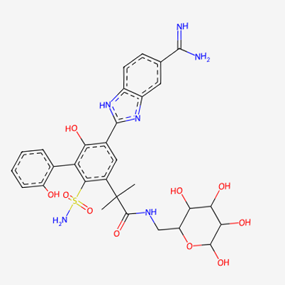 CC(C)(C(=O)NCC1OC(O)C(O)C(O)C1O)c1cc(-c2nc3cc(C(=N)N)ccc3[nH]2)c(O)c(-c2ccccc2O)c1S(N)(=O)=O